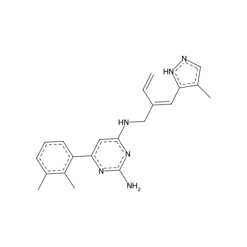 C=C/C(=C\c1[nH]ncc1C)CNc1cc(-c2cccc(C)c2C)nc(N)n1